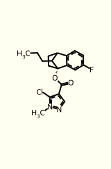 CCCC1C2CC[C@]1(OC(=O)c1cnn(C)c1Cl)c1cc(F)ccc12